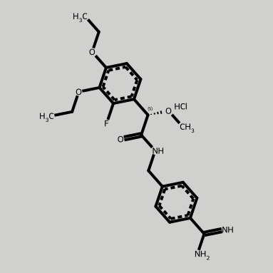 CCOc1ccc([C@H](OC)C(=O)NCc2ccc(C(=N)N)cc2)c(F)c1OCC.Cl